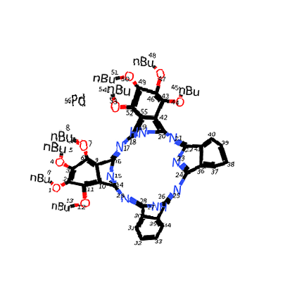 CCCCOc1c(OCCCC)c(OCCCC)c2c(c1OCCCC)-c1nc-2nc2[nH]c(nc3nc(nc4[nH]c(n1)c1ccccc41)-c1ccccc1-3)c1c(OCCCC)c(OCCCC)c(OCCCC)c(OCCCC)c21.[Pd]